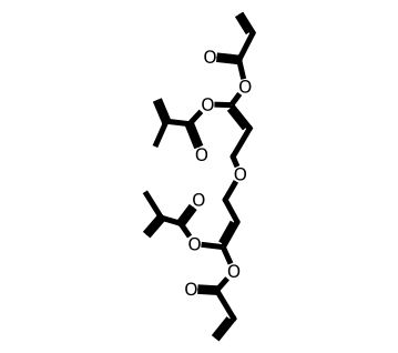 C=CC(=O)OC(=CCOCC=C(OC(=O)C=C)OC(=O)C(=C)C)OC(=O)C(=C)C